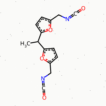 CC(c1ccc(CN=C=O)o1)c1ccc(CN=C=O)o1